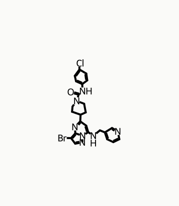 O=C(Nc1ccc(Cl)cc1)N1CCC(c2cc(NCc3cccnc3)n3ncc(Br)c3n2)CC1